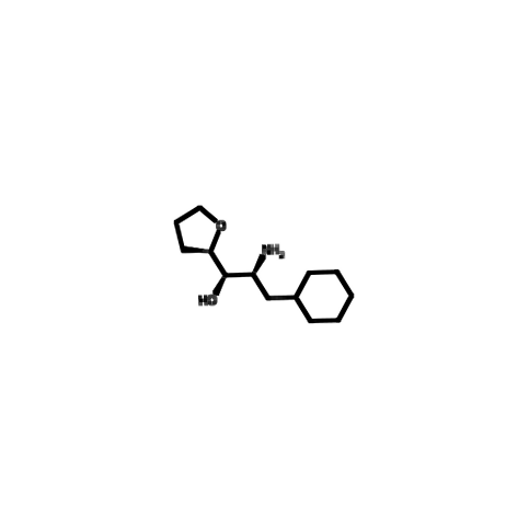 N[C@@H](CC1CCCCC1)[C@@H](O)[C@H]1CCCO1